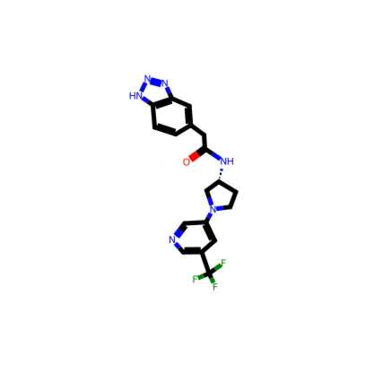 O=C(Cc1ccc2[nH]nnc2c1)N[C@@H]1CCN(c2cncc(C(F)(F)F)c2)C1